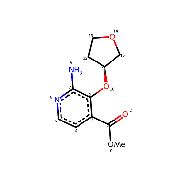 COC(=O)c1ccnc(N)c1O[C@H]1CCOC1